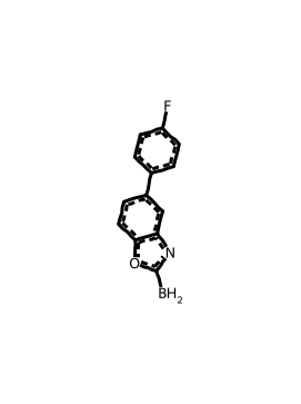 Bc1nc2cc(-c3ccc(F)cc3)ccc2o1